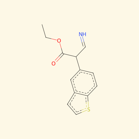 CCOC(=O)C(C=N)c1ccc2sccc2c1